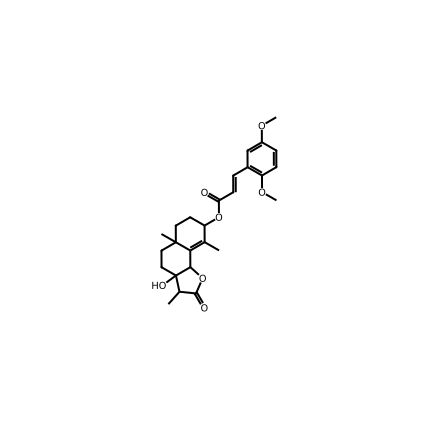 COc1ccc(OC)c(C=CC(=O)OC2CCC3(C)CCC4(O)C(C)C(=O)OC4C3=C2C)c1